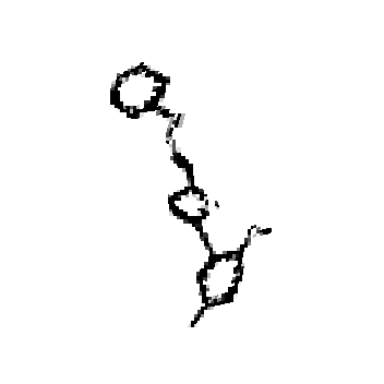 COc1ccc(C)cc1-c1ccc(/C=N/Nc2ccccc2)o1